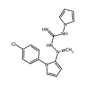 C=[N+](NC(=N)Nn1cccc1)c1cccn1-c1ccc(Cl)cc1